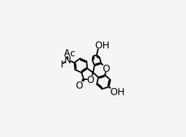 CC(=O)N(I)c1ccc2c(c1)C(=O)OC21c2ccc(O)cc2Oc2cc(O)ccc21